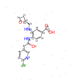 O=C(Cc1ccc(Br)nc1)Nc1ccc(C(=O)O)cc1NC[C@@H]1CCO1